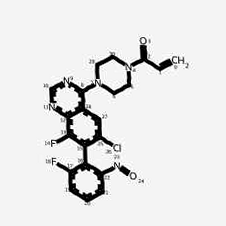 C=CC(=O)N1CCN(c2ncnc3c(F)c(-c4c(F)cccc4N=O)c(Cl)cc23)CC1